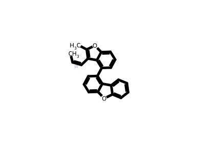 C/C=C\c1c(C)oc2cccc(-c3cccc4oc5ccccc5c34)c12